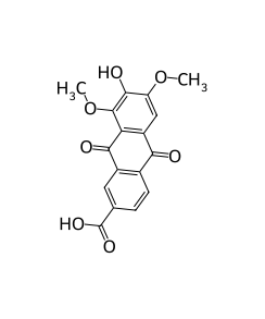 COc1cc2c(c(OC)c1O)C(=O)c1cc(C(=O)O)ccc1C2=O